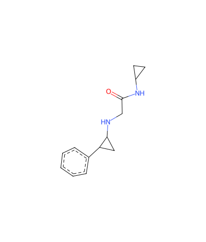 O=C(CNC1CC1c1ccccc1)NC1CC1